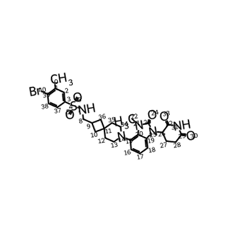 Cc1cc(S(=O)(=O)NCC2CC3(CCN(c4cccc5c4n(C)c(=O)n5C4CCC(=O)NC4=O)CC3)C2)ccc1Br